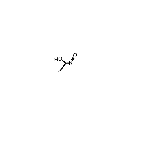 [CH2]C(O)N=O